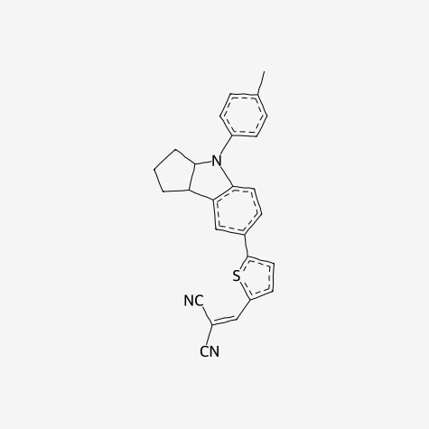 Cc1ccc(N2c3ccc(-c4ccc(C=C(C#N)C#N)s4)cc3C3CCCC32)cc1